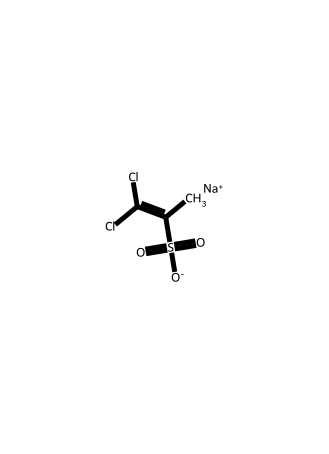 CC(=C(Cl)Cl)S(=O)(=O)[O-].[Na+]